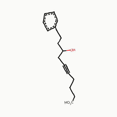 O=C(O)CCCC#CCC(O)CCc1ccccc1